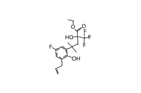 C=CCc1cc(F)cc(C(C)(C)CC(O)(C(=O)OCC)C(F)(F)F)c1O